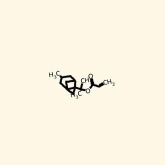 C=CC(=O)OC(C)(C)C12CC13CC(C)CC2C3